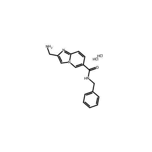 Cl.Cl.NCc1cn2cc(C(=O)NCc3ccccc3)ccc2n1